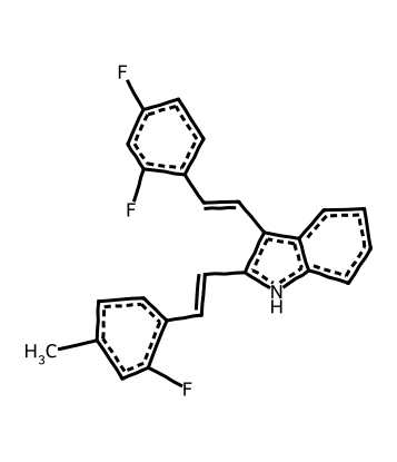 Cc1ccc(/C=C/c2[nH]c3ccccc3c2/C=C/c2ccc(F)cc2F)c(F)c1